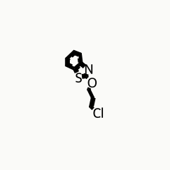 Cl/C=C/COc1nc2ccccc2s1